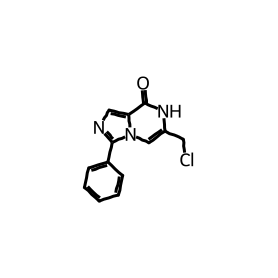 O=c1[nH]c(CCl)cn2c(-c3ccccc3)ncc12